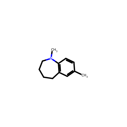 Cc1ccc2c(c1)CCCCN2C